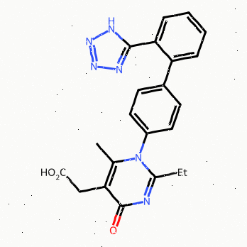 CCc1nc(=O)c(CC(=O)O)c(C)n1-c1ccc(-c2ccccc2-c2nnn[nH]2)cc1